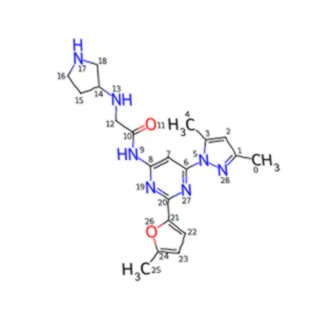 Cc1cc(C)n(-c2cc(NC(=O)CNC3CCNC3)nc(-c3ccc(C)o3)n2)n1